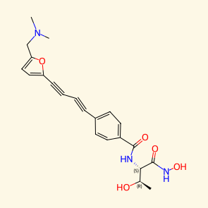 C[C@@H](O)[C@H](NC(=O)c1ccc(C#CC#Cc2ccc(CN(C)C)o2)cc1)C(=O)NO